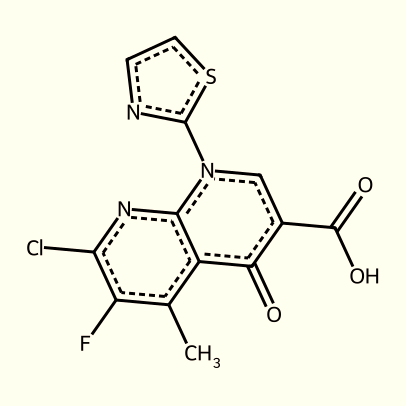 Cc1c(F)c(Cl)nc2c1c(=O)c(C(=O)O)cn2-c1nccs1